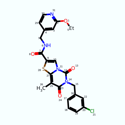 CCOc1cc(CNC(=O)c2cn3c(=O)n(Cc4cccc(Cl)c4)c(=O)c(C)c3s2)ccn1